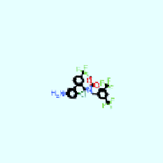 COC(=O)N(Cc1cc(C(F)(F)F)cc(C(F)(F)F)c1)Cc1cc(C(F)(F)F)ccc1-c1cc(N)ccc1Cl